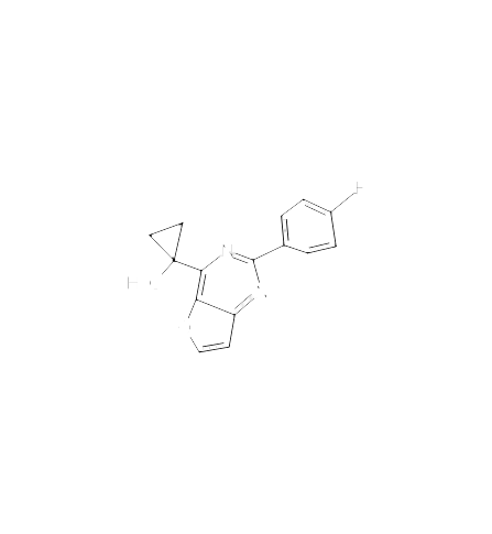 CC1(c2nc(-c3ccc(F)cc3)nc3ccoc23)CC1